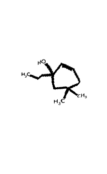 CCC1(O)C=CCC(C)(C)C1